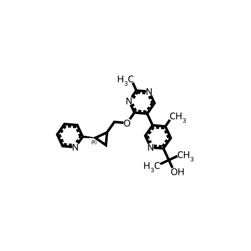 Cc1ncc(-c2cnc(C(C)(C)O)cc2C)c(OCC2C[C@H]2c2ccccn2)n1